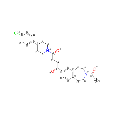 O=C(CCC(=O)N1CCC(c2ccc(Cl)cc2)CC1)c1ccc2c(c1)CCN(C(=O)C(F)(F)F)CC2